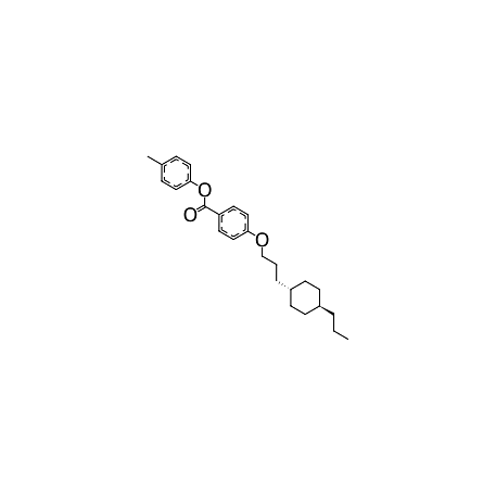 CCC[C@H]1CC[C@H](CCCOc2ccc(C(=O)Oc3ccc(C)cc3)cc2)CC1